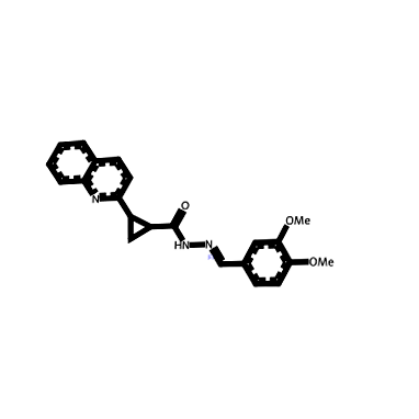 COc1ccc(/C=N/NC(=O)C2CC2c2ccc3ccccc3n2)cc1OC